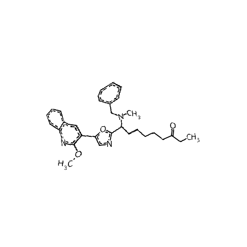 CCC(=O)CCCCCC(c1ncc(-c2cc3ccccc3nc2OC)o1)N(C)Cc1ccccc1